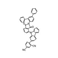 N#Cc1ccc(-c2ccc3c4ccccc4n(-c4cccc5c4C(=O)N(c4ccc(-c6ccccc6)cc4-c4ccccc4)C5=O)c3c2)c(C#N)c1